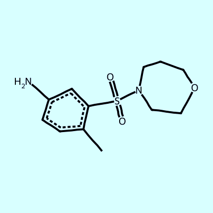 Cc1ccc(N)cc1S(=O)(=O)N1CCCOCC1